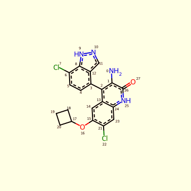 Nc1c(-c2ccc(Cl)c3[nH]ncc23)c2cc(OC3CCC3)c(Cl)cc2[nH]c1=O